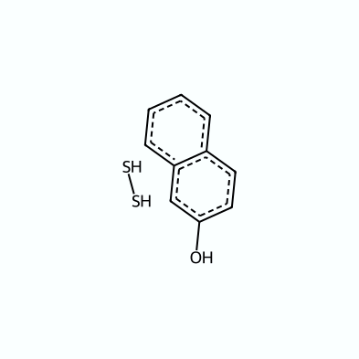 Oc1ccc2ccccc2c1.SS